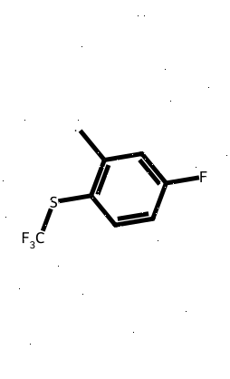 [CH2]c1cc(F)ccc1SC(F)(F)F